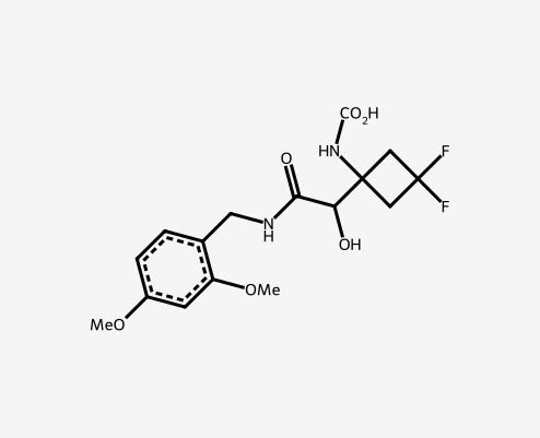 COc1ccc(CNC(=O)C(O)C2(NC(=O)O)CC(F)(F)C2)c(OC)c1